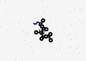 C/C=C\C=C/c1cc2cc3c(cc2n1-c1ccccc1)c1ccccc1n3-c1nc(-c2ccccc2)cc(-n2c3ccccc3c3cc4c(cc32)c2ccccc2n4-c2ccccc2)n1